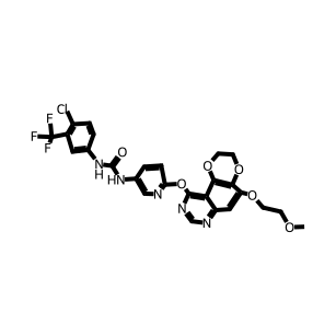 COCCOc1cc2ncnc(Oc3ccc(NC(=O)Nc4ccc(Cl)c(C(F)(F)F)c4)cn3)c2c2c1OCCO2